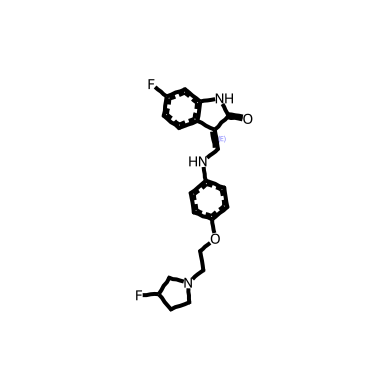 O=C1Nc2cc(F)ccc2/C1=C\Nc1ccc(OCCN2CCC(F)C2)cc1